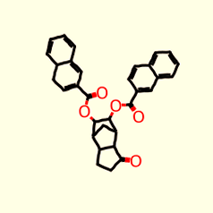 O=C(OC1C2CC(C1OC(=O)c1ccc3ccccc3c1)C1C(=O)CCC21)C1=CCC2C=CC=CC2=C1